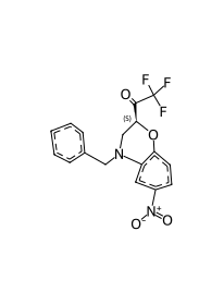 O=C([C@@H]1CN(Cc2ccccc2)c2cc([N+](=O)[O-])ccc2O1)C(F)(F)F